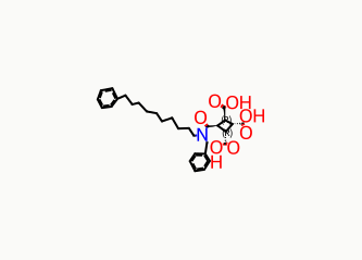 O=C(O)[C@H]1[C@H](C(=O)O)[C@H](C(=O)O)[C@H]1C(=O)N(CCCCCCCCCCc1ccccc1)Cc1ccccc1